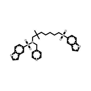 CC(C)(CCCCCS(=O)(=O)c1ccc2occc2c1)CN(Cc1ccncc1)S(=O)(=O)c1ccc2occc2c1